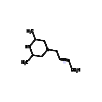 CC1CN(C/C=C/C(=O)O)CC(C)N1